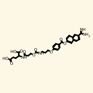 N=C(N)c1ccc2cc(OC(=O)c3ccc(OCCCNC(=O)OCCC(=O)NC(CCC(=O)O)C(=O)O)cc3)ccc2c1